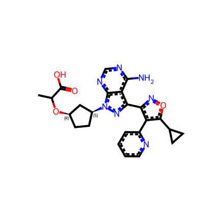 CC(O[C@@H]1CC[C@H](n2nc(-c3noc(C4CC4)c3-c3ccccn3)c3c(N)ncnc32)C1)C(=O)O